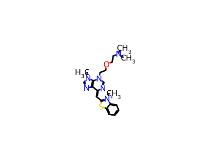 CN(C)CCOCCN1C=N/C(=C\c2sc3ccccc3[n+]2C)c2ncn(C)c21